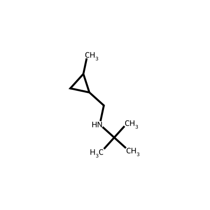 CC1CC1CNC(C)(C)C